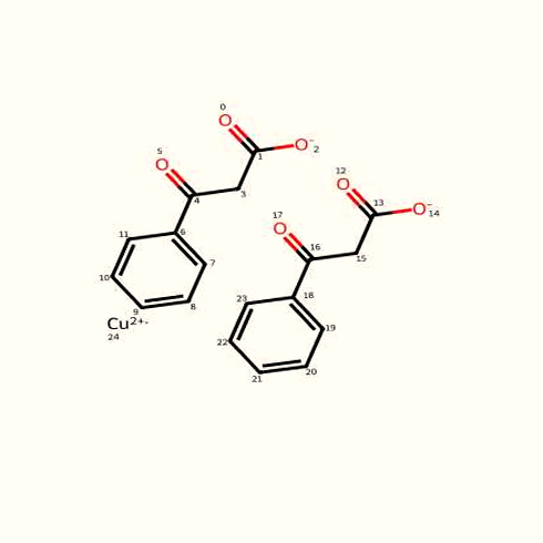 O=C([O-])CC(=O)c1ccccc1.O=C([O-])CC(=O)c1ccccc1.[Cu+2]